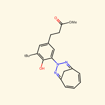 COC(=O)CCc1cc(N2N=C3C=CC=CC(=N2)C3)c(O)c(C(C)(C)C)c1